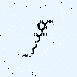 COCCCSCC(=O)Nc1ccnc(N)n1